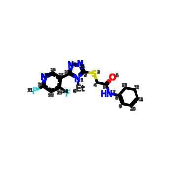 CCn1c(SCC(=O)NC2=CC=CCC2)nnc1-c1cnc(F)cc1F